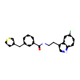 O=C(NCCc1c[nH]c2ccc(Cl)cc12)c1cccc(Cc2ccsc2)c1